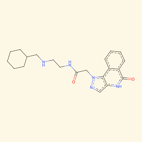 O=C(Cn1ncc2[nH]c(=O)c3ccccc3c21)NCCNCC1CCCCC1